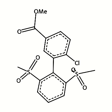 COC(=O)c1ccc(Cl)c(-c2c(S(C)(=O)=O)cccc2S(C)(=O)=O)c1